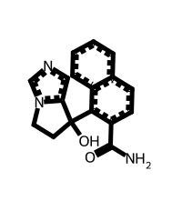 NC(=O)c1ccc2ccccc2c1C1(O)CCn2cncc21